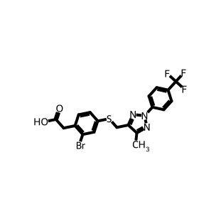 Cc1nn(-c2ccc(C(F)(F)F)cc2)nc1CSc1ccc(CC(=O)O)c(Br)c1